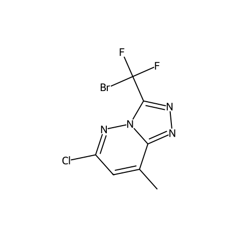 Cc1cc(Cl)nn2c(C(F)(F)Br)nnc12